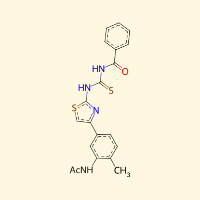 CC(=O)Nc1cc(-c2csc(NC(=S)NC(=O)c3ccccc3)n2)ccc1C